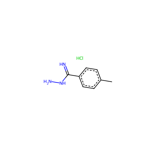 Cc1ccc(C(=N)NN)cc1.Cl